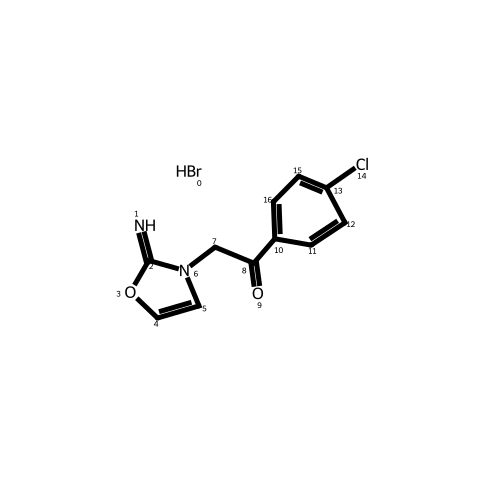 Br.N=c1occn1CC(=O)c1ccc(Cl)cc1